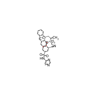 C=C(CC12CCC(c3ccccc31)c1ccccc12)C(C)Oc1ccc(S(=O)(=O)Nc2ncns2)cc1C#N